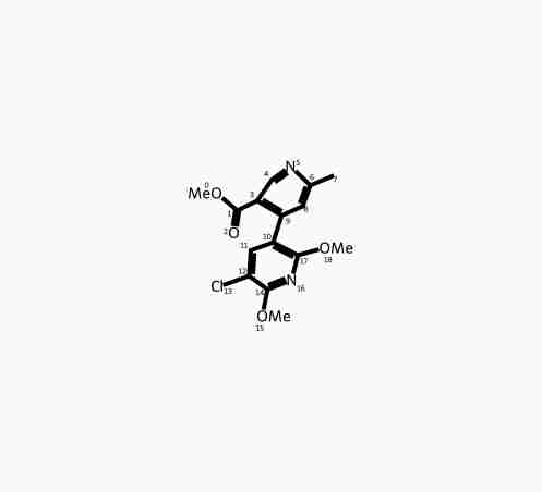 COC(=O)c1cnc(C)cc1-c1cc(Cl)c(OC)nc1OC